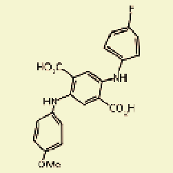 COc1ccc(Nc2cc(C(=O)O)c(Nc3ccc(F)cc3)cc2C(=O)O)cc1